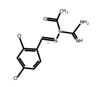 CC(=O)N(/N=C/c1ccc(Cl)cc1Cl)C(=N)N